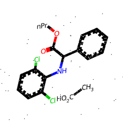 CC(=O)O.CCCOC(=O)C(Nc1c(Cl)cccc1Cl)c1ccccc1